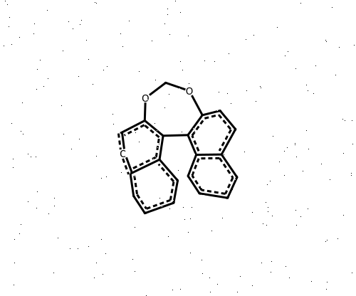 c1ccc2c3c(ccc2c1)OCOc1ccc2ccccc2c1-3